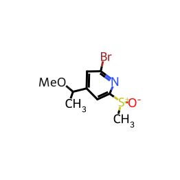 COC(C)c1cc(Br)nc([S+](C)[O-])c1